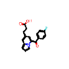 O=C(O)CCc1cc(C(=O)c2ccc(F)cc2)n2cccc2c1